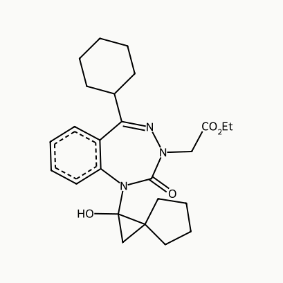 CCOC(=O)CN1N=C(C2CCCCC2)c2ccccc2N(C2(O)CC23CCCC3)C1=O